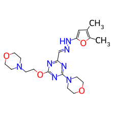 Cc1cc(N/N=C/c2nc(OCCN3CCOCC3)nc(N3CCOCC3)n2)oc1C